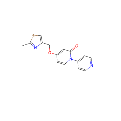 Cc1nc(COc2ccn(-c3ccncc3)c(=O)c2)cs1